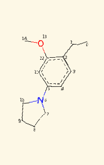 CCc1ccc(N2CCCC2)cc1OC